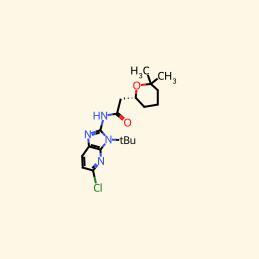 CC1(C)CCC[C@H](CC(=O)Nc2nc3ccc(Cl)nc3n2C(C)(C)C)O1